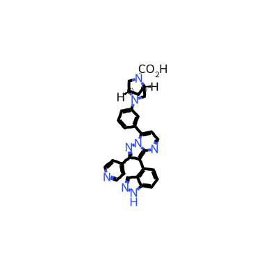 O=C(O)N1C[C@@H]2C[C@H]1CN2c1cccc(-c2ccnc3c(-c4cccc5[nH]ncc45)c(-c4ccncc4)nn23)c1